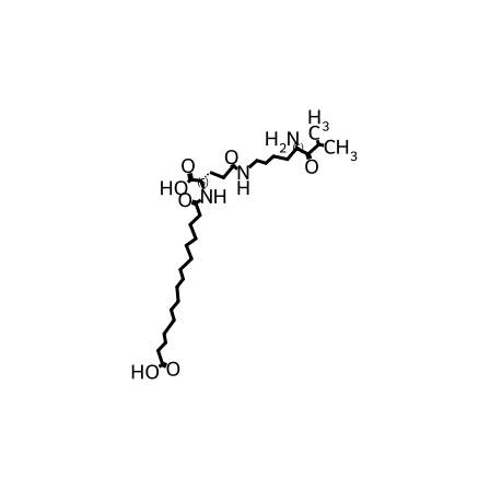 CC(C)C(=O)[C@@H](N)CCCCNC(=O)CC[C@H](NC(=O)CCCCCCCCCCCCCCC(=O)O)C(=O)O